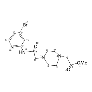 COC(=O)CN1CCN(CC(=O)Nc2cc(Br)ccn2)CC1